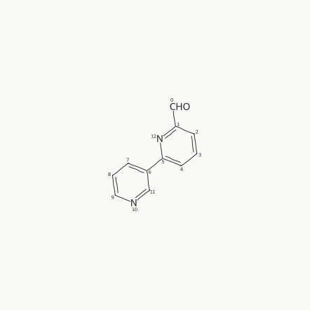 O=Cc1cccc(-c2cccnc2)n1